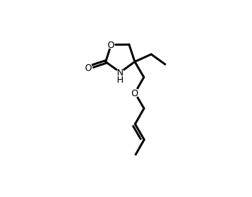 C/C=C/COCC1(CC)COC(=O)N1